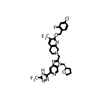 Fc1cc(Cl)ccc1COc1nc2c(cc1C(F)(F)F)CCN(Cc1nc3cc(-c4nnc(C(F)(F)F)[nH]4)ncc3n1C[C@H]1CCCO1)C2